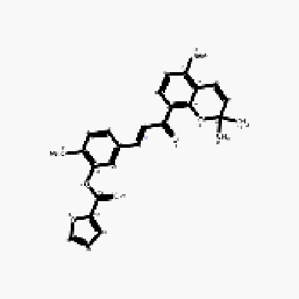 COc1ccc(/C=C/C(=O)c2ccc(OC)c3c2OC(C)(C)C=C3)cc1OC(=O)c1ccco1